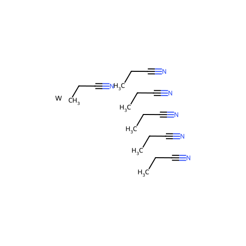 CCC#N.CCC#N.CCC#N.CCC#N.CCC#N.CCC#N.[W]